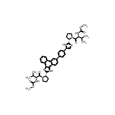 COC(=O)N[C@H](C(=O)N1CCC[C@H]1c1ncc(-c2ccc(-c3ccc4c(c3)c3ccccc3c3nc([C@@H]5CCCN5C(=O)[C@@H](NC(=O)OC)C(C)C)[nH]c43)cc2)[nH]1)C(C)C